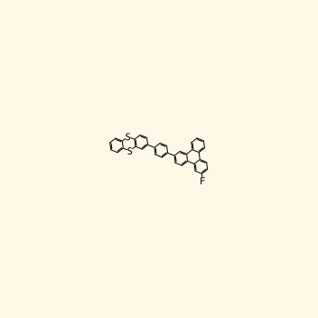 Fc1ccc2c3ccccc3c3cc(-c4ccc(-c5ccc6c(c5)Sc5ccccc5S6)cc4)ccc3c2c1